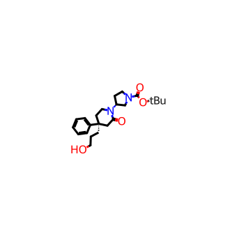 CC(C)(C)OC(=O)N1CC[C@H](N2CC[C@](CCCO)(c3ccccc3)CC2=O)C1